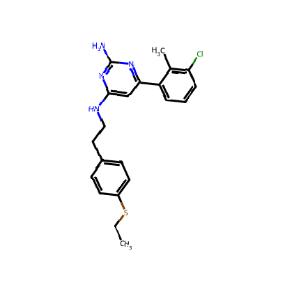 CCSc1ccc(CCNc2cc(-c3cccc(Cl)c3C)nc(N)n2)cc1